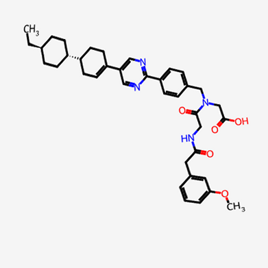 CC[C@H]1CC[C@H](C2CC=C(c3cnc(-c4ccc(CN(CC(=O)O)C(=O)CNC(=O)Cc5cccc(OC)c5)cc4)nc3)CC2)CC1